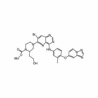 Cc1cc(Nc2ncnc3cc(Br)c(N4CCN(C(=O)OC(C)(C)C)C(CCO)C4)nc23)ccc1Oc1ccn2ncnc2c1